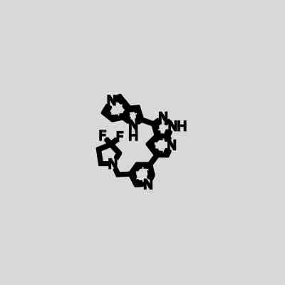 FC1(F)CCN(Cc2cncc(-c3cnc4[nH]nc(-c5cc6cnccc6[nH]5)c4c3)c2)C1